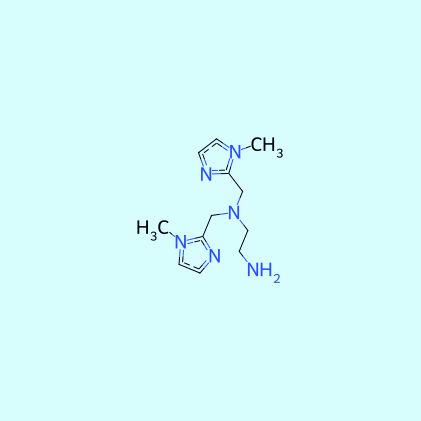 Cn1ccnc1CN(CCN)Cc1nccn1C